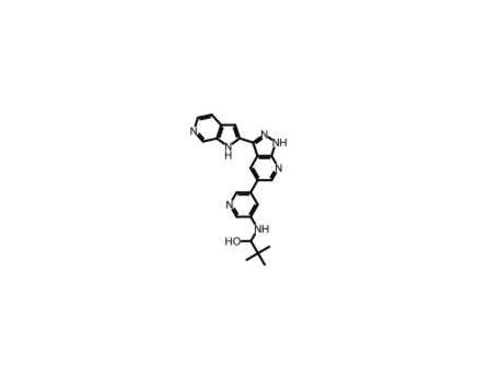 CC(C)(C)C(O)Nc1cncc(-c2cnc3[nH]nc(-c4cc5ccncc5[nH]4)c3c2)c1